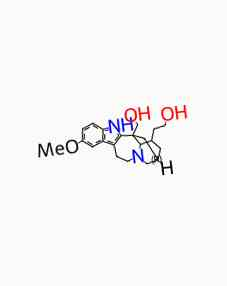 COc1ccc2[nH]c3c(c2c1)CCN1C[C@@H]2CC(CCO)C1C3(CO)C2